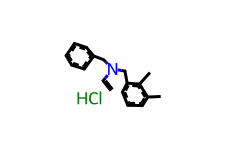 C=CN(Cc1ccccc1)Cc1cccc(C)c1C.Cl